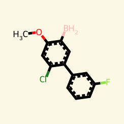 Bc1cc(-c2cccc(F)c2)c(Cl)cc1OC